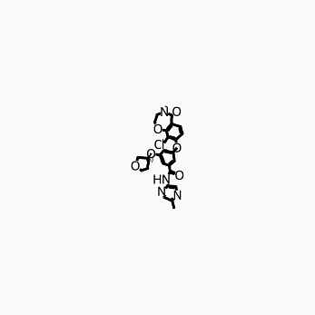 Cc1cnc(NC(=O)c2cc(Oc3ccc4c(c3Cl)OCCN(C)C4=O)cc(O[C@H]3CCOC3)c2)cn1